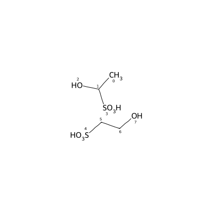 CC(O)S(=O)(=O)O.O=S(=O)(O)CCO